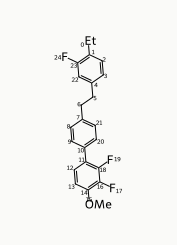 CCc1ccc(CCc2ccc(-c3ccc(OC)c(F)c3F)cc2)cc1F